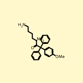 COc1ccc(C(C(=O)[C@@H](N)CCCCN)(c2ccccc2)c2ccccc2)cc1